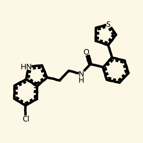 O=C(NCCc1c[nH]c2ccc(Cl)cc12)c1ccccc1-c1ccsc1